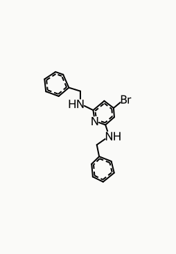 Brc1cc(NCc2ccccc2)nc(NCc2ccccc2)c1